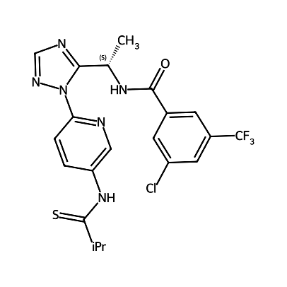 CC(C)C(=S)Nc1ccc(-n2ncnc2[C@H](C)NC(=O)c2cc(Cl)cc(C(F)(F)F)c2)nc1